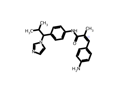 C/C(=C/c1ccc(N)cc1)C(=O)Nc1ccc(C(C(C)C)n2ccnc2)cc1